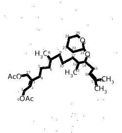 CC(=O)OCC=C(CCCC(C)CCCC(C)C(CC=C(C)C)OC1CCCCO1)COC(C)=O